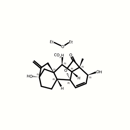 C=C1C[C@]23C[C@@]1(O)CC[C@H]2[C@@]12C=C[C@H](O)[C@@](C)(C(=O)O1)[C@H]2[C@@H]3C(=O)O.CCOCC